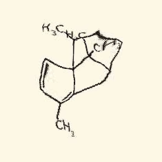 CC1=C2CC3CCC(C)C2(C=C1)C3(C)C